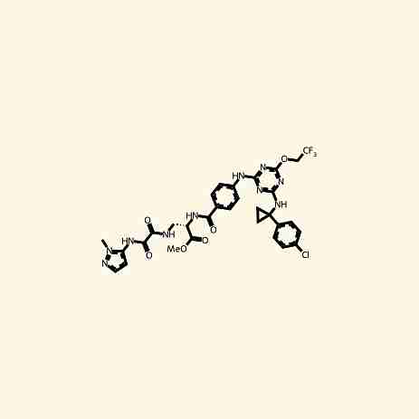 COC(=O)[C@H](CNC(=O)C(=O)Nc1ccnn1C)NC(=O)c1ccc(Nc2nc(NC3(c4ccc(Cl)cc4)CC3)nc(OCC(F)(F)F)n2)cc1